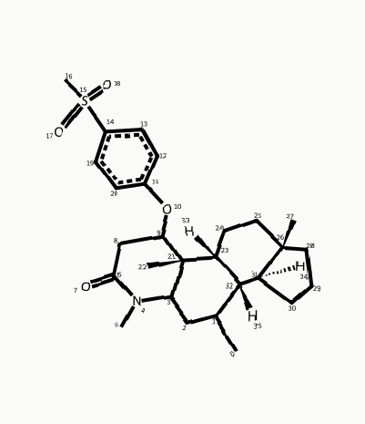 CC1CC2N(C)C(=O)CC(Oc3ccc(S(C)(=O)=O)cc3)[C@]2(C)[C@@H]2CC[C@]3(C)CCC[C@H]3[C@H]12